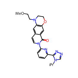 COCCN1CCOc2cc3c(=O)n(-c4cccc(-c5nncn5C(C)C)n4)ccc3cc21